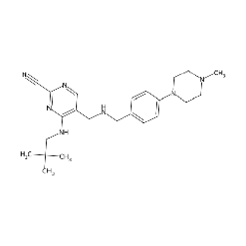 CN1CCN(c2ccc(CNCc3cnc(C#N)nc3NCC(C)(C)C)cc2)CC1